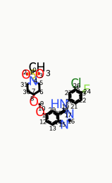 CS(=O)(=O)N1CCC(OCOc2ccc3ncnc(Nc4ccc(F)c(Cl)c4)c3c2)CC1